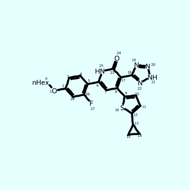 CCCCCCOc1ccc(-c2cc(-c3ccc(C4CC4)s3)c(-c3nn[nH]n3)c(=O)[nH]2)c(F)c1